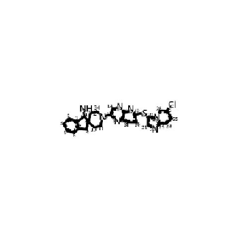 N[C@@H]1c2ccccc2CC12CCN(c1cnc3nc(Sc4cnc5ccc(Cl)cn45)ccc3n1)CC2